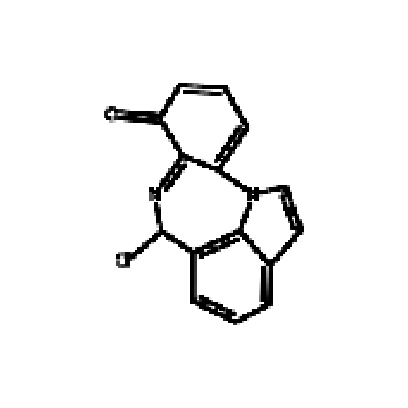 O=C1C=CC=C2C1=NC(Cl)c1cccc3ccn2c13